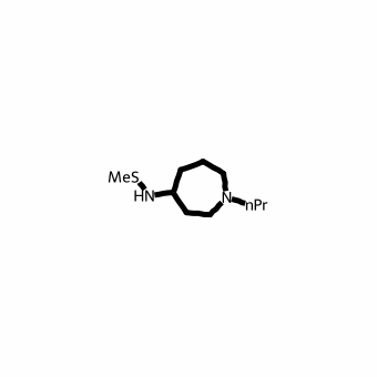 CCCN1CCCC(NSC)CC1